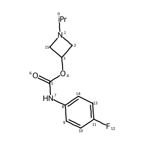 CC(C)N1CC(OC(=O)Nc2ccc(F)cc2)C1